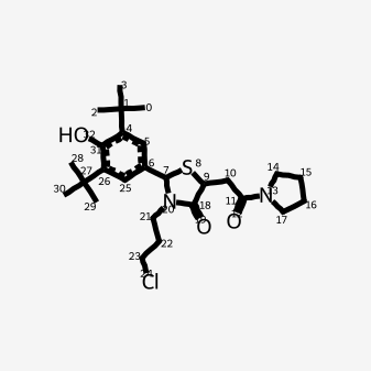 CC(C)(C)c1cc(C2SC(CC(=O)N3CCCC3)C(=O)N2CCCCl)cc(C(C)(C)C)c1O